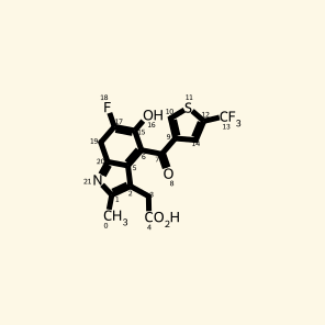 CC1=C(CC(=O)O)C2=C(C(=O)c3csc(C(F)(F)F)c3)C(O)=C(F)CC2=N1